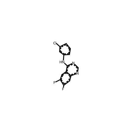 Fc1cc2ncnc(Nc3cccc(Cl)c3)c2cc1F